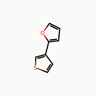 [c]1coc(-c2ccsc2)c1